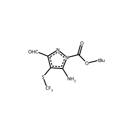 CC(C)(C)OC(=O)n1nc(C=O)c(SC(F)(F)F)c1N